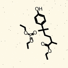 CCOC(=O)C(C)CCC(C)(C)c1ccc(O)cc1.CCO[PH](=O)OCC